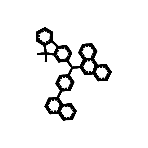 CC1(C)c2ccccc2-c2ccc(N(c3ccc(-c4cccc5ccccc45)cc3)c3cc4ccccc4c4ccccc34)cc21